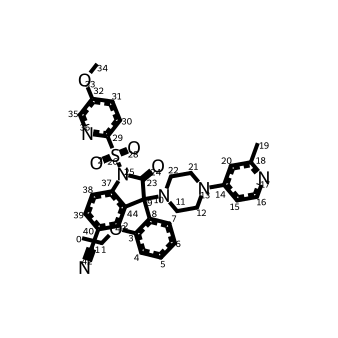 CCOc1ccccc1C1(N2CCN(c3ccnc(C)c3)CC2)C(=O)N(S(=O)(=O)c2ccc(OC)cn2)c2ccc(C#N)cc21